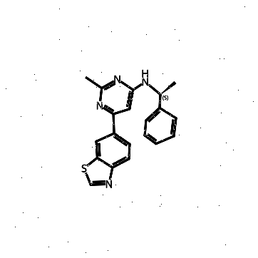 Cc1nc(N[C@@H](C)c2ccccc2)cc(-c2ccc3ncsc3c2)n1